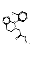 COC(=O)CN1CCc2sccc2[C@H]1c1ccccc1Cl